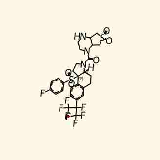 O=C(N1CCNC2CS(=O)(=O)CC21)N1CC[C@@]2(S(=O)(=O)c3ccc(F)cc3)c3ccc(C(F)(C(F)(F)F)C(F)(F)F)cc3CC[C@@H]12